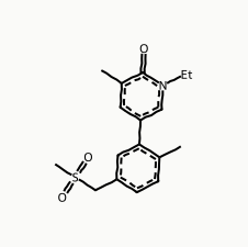 CCn1cc(-c2cc(CS(C)(=O)=O)ccc2C)cc(C)c1=O